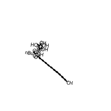 C#CC#CC#CC#CC#CC#CC#CC#CC#CC#CC#CC(=O)N[C@@H](COC1OC(CO)C(O)C(O)C1O)[C@H](O)[C@H](O)CCCC